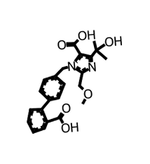 COCc1nc(C(C)(C)O)c(C(=O)O)n1Cc1ccc(-c2ccccc2C(=O)O)cc1